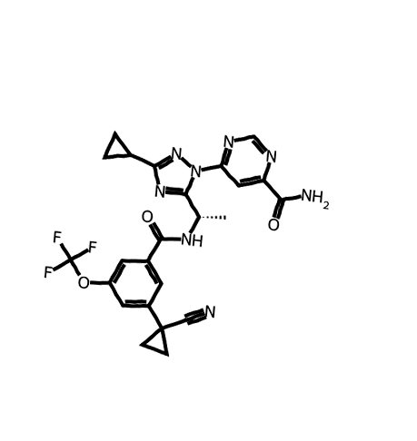 C[C@H](NC(=O)c1cc(OC(F)(F)F)cc(C2(C#N)CC2)c1)c1nc(C2CC2)nn1-c1cc(C(N)=O)ncn1